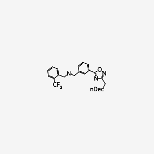 CCCCCCCCCCCc1noc(-c2cccc(C[N]Cc3ccccc3C(F)(F)F)c2)n1